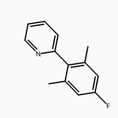 Cc1cc(F)cc(C)c1-c1ccccn1